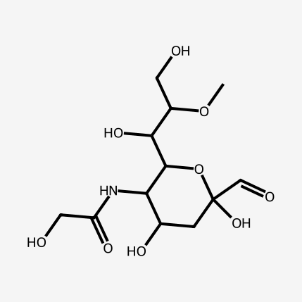 COC(CO)C(O)C1OC(O)(C=O)CC(O)C1NC(=O)CO